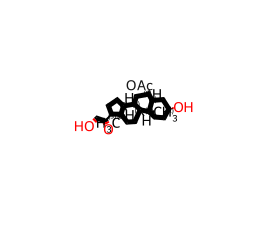 CC(=O)O[C@H]1C[C@@H]2[C@H](CC[C@]3(C)[C@@H](C(=O)CO)CC[C@@H]23)[C@@]2(C)CC[C@@H](O)C[C@H]12